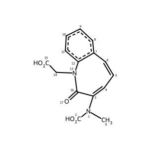 CN(C(=O)O)/C1=C/C=C\c2ccccc2N(CC(=O)O)C1=O